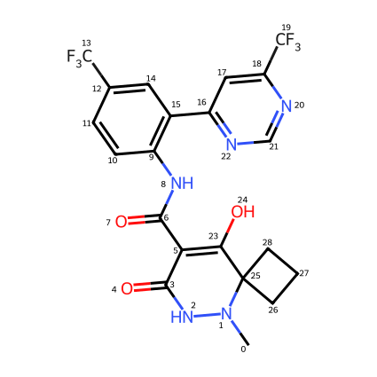 CN1NC(=O)C(C(=O)Nc2ccc(C(F)(F)F)cc2-c2cc(C(F)(F)F)ncn2)=C(O)C12CCC2